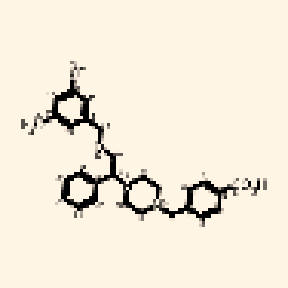 O=C(O)c1ccc(CN2CCN(C(COCc3cc(C(F)(F)F)cc(C(F)(F)F)c3)c3ccccc3)CC2)cc1